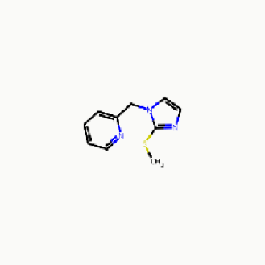 CSc1nccn1Cc1ccccn1